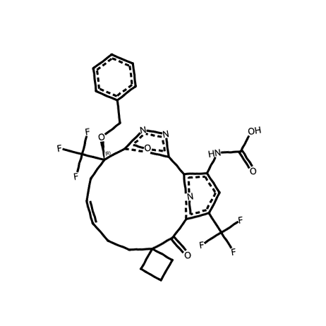 O=C(O)Nc1cc(C(F)(F)F)c2nc1-c1nnc(o1)[C@@](OCc1ccccc1)(C(F)(F)F)CC=CCCC1(CCC1)C2=O